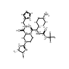 C[C@@H]1N=C(N2CCN(C(=O)[C@H](NC(=O)OC(C)(C)C)[C@H]3CC[C@H](N)CC3)[C@H](C(=O)NCc3cccs3)C2)O[C@H]1C